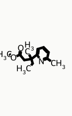 CCC(C)(CC(=O)OC)c1cccc(C)n1